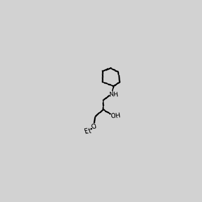 CCOCC(O)CNC1CCCCC1